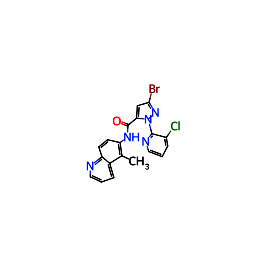 Cc1c(NC(=O)c2cc(Br)nn2-c2ncccc2Cl)ccc2ncccc12